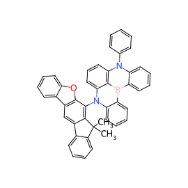 CC1(C)c2ccccc2-c2cc3c(oc4ccccc43)c(N3c4ccccc4B4c5ccccc5N(c5ccccc5)c5cccc3c54)c21